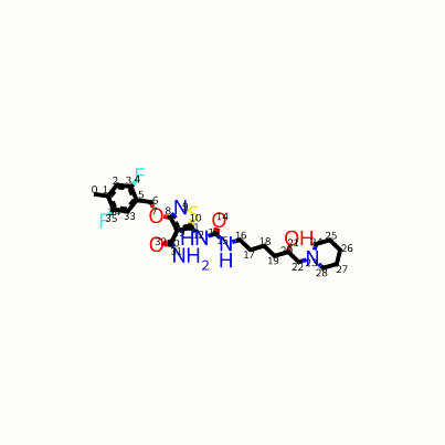 Cc1cc(F)c(COc2nsc(NC(=O)NCCCCC(O)CN3CCCCC3)c2C(N)=O)cc1F